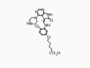 O=C(O)CCCCOc1ccc(Cl)c(N/C=C2\C(=O)Nc3ncnc(N4CCNCC4)c32)c1